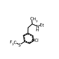 CCNC(C)Cc1cccc(SC(F)(F)F)c1.Cl